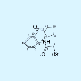 O=C(CBr)Nc1ccccc1C(=O)C1CCCC1